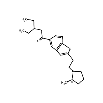 CCC(CC)CC(=O)c1ccc2oc(CCN3CCC[C@H]3C)cc2c1